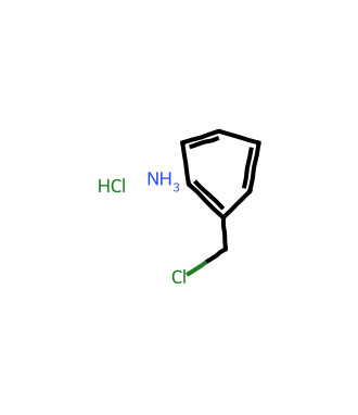 Cl.ClCc1ccccc1.N